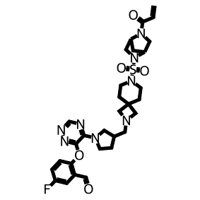 C=CC(=O)N1CC2CC1CN2S(=O)(=O)N1CCC2(CC1)CN(CC1CCN(c3ncnnc3Oc3ccc(F)cc3C=O)C1)C2